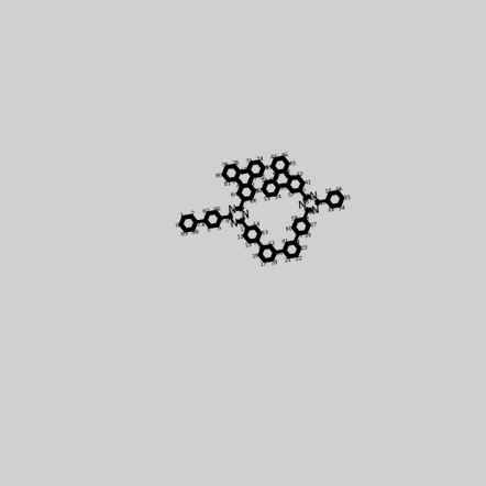 c1ccc(-c2ccc(-c3nc(-c4ccc(-c5cccc(-c6cccc(-c7ccc(-c8nc(-c9ccccc9)nc(-c9ccc%10c%11ccccc%11c%11ccccc%11c%10c9)n8)cc7)c6)c5)cc4)nc(-c4ccc5c6ccccc6c6ccccc6c5c4)n3)cc2)cc1